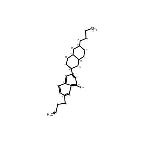 C=CCCc1ccc2cc(C3CCC4CC(CCCC)CCC4C3)cc(F)c2c1